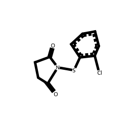 O=C1CCC(=O)N1Sc1ccccc1Cl